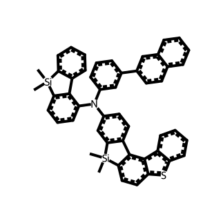 C[Si]1(C)c2ccccc2-c2c(N(c3cccc(-c4ccc5ccccc5c4)c3)c3ccc4c(c3)[Si](C)(C)c3ccc5sc6ccccc6c5c3-4)cccc21